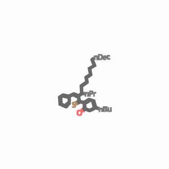 CCCCCCCCCCCCCCCCCC(CCC)C(=Cc1ccccc1)C(=S)C1=CC=C(CCCC)CC1=O